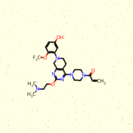 C=CC(=O)N1CCN(c2nc(OCCN(C)C)nc3c2CCN(c2cc(O)ccc2OC(F)(F)F)C3)CC1